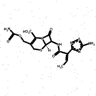 C/C=C(\C(=O)NC1C(=O)N2C(C(=O)O)=C(COC(N)=O)CS[C@H]12)c1nsc(N)n1